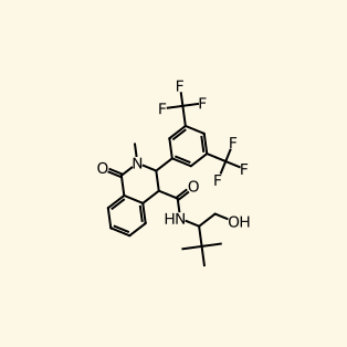 CN1C(=O)c2ccccc2C(C(=O)NC(CO)C(C)(C)C)C1c1cc(C(F)(F)F)cc(C(F)(F)F)c1